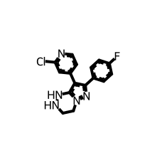 Fc1ccc(-c2nn3c(c2-c2ccnc(Cl)c2)NNCC3)cc1